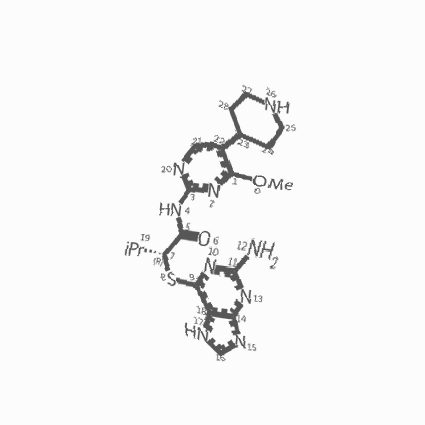 COc1nc(NC(=O)[C@H](Sc2nc(N)nc3nc[nH]c23)C(C)C)ncc1C1CCNCC1